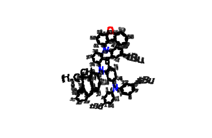 CC(C)(C)c1ccc(N(c2cccc(C(C)(C)C)c2)c2ccc3c(c2)N(c2ccc4c(c2)C(C)(C)c2ccccc2-4)c2cccc4c2B3c2cc(C(C)(C)C)ccc2N4c2cccc3oc4ccccc4c23)cc1